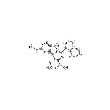 CCc1c(C(=O)O)nc(-c2cccc3ccccc23)c2[nH]c3ccc(OC)cc3c12